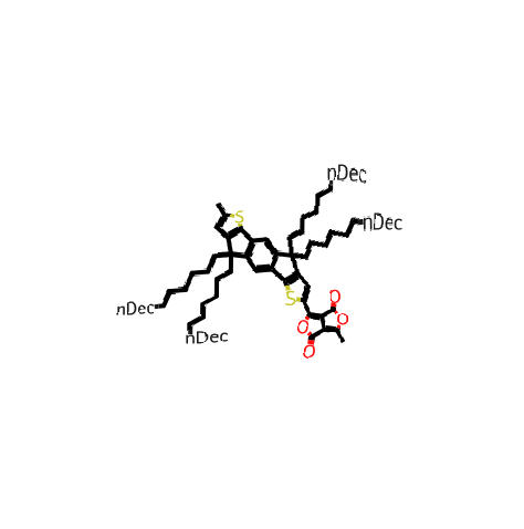 CCCCCCCCCCCCCCCCC1(CCCCCCCCCCCCCCCC)c2cc3c(cc2-c2sc(C)cc21)C(CCCCCCCCCCCCCCCC)(CCCCCCCCCCCCCCCC)c1cc(C2=C4C(=O)OC(C)=C4C(=O)O2)sc1-3